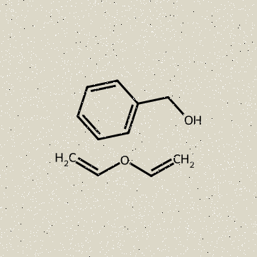 C=COC=C.OCc1ccccc1